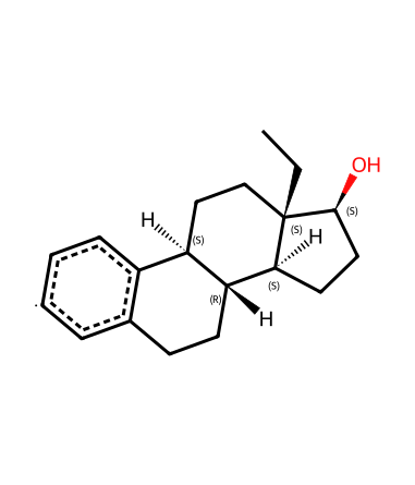 CC[C@]12CC[C@@H]3c4cc[c]cc4CC[C@H]3[C@@H]1CC[C@@H]2O